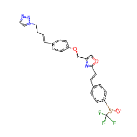 [O-][S+](c1ccc(C=Cc2nc(COc3ccc(C=CCCn4ccnn4)cc3)co2)cc1)C(F)(F)F